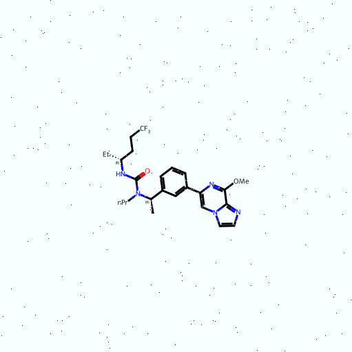 CCCN(C(=O)N[C@H](CC)CCC(F)(F)F)[C@H](C)c1cccc(-c2cn3ccnc3c(OC)n2)c1